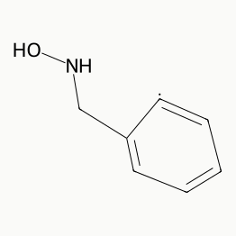 ONCc1[c]cccc1